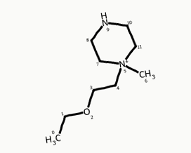 CCOCC[N+]1(C)CCNCC1